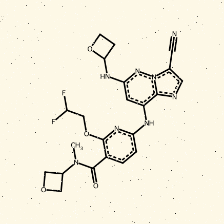 CN(C(=O)c1ccc(Nc2cc(NC3CCO3)nn3c(C#N)cnc23)nc1OCC(F)F)C1COC1